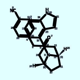 N#Cc1ccc(CC(=O)N2[C@@H]3CC[C@@H]2CN(c2ncnc4[nH]ccc24)C3)cc1